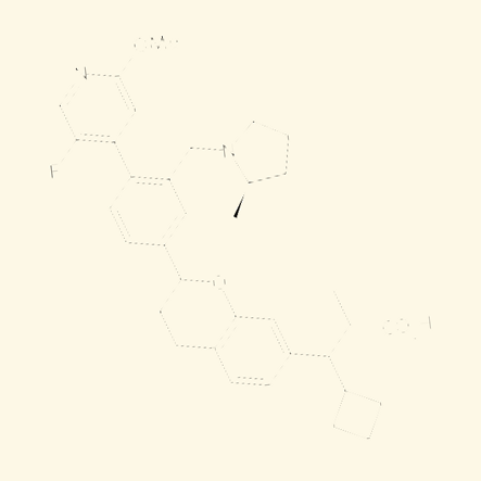 COc1cc(-c2ccc(C3CCc4ccc(C(C5CCC5)[C@H](C)C(=O)O)cc4O3)cc2CN2[C@H](C)CC[C@H]2C)c(F)cn1